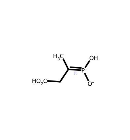 C/C(CC(=O)O)=[P+](/[O-])O